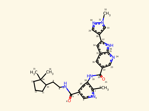 Cc1ncc(C(=O)NCCC2CCCC2(C)C)cc1NC(=O)c1cnc2[nH]c(-c3cnn(C)c3)cc2c1